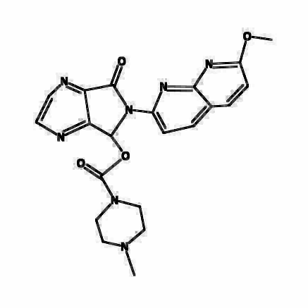 COc1ccc2ccc(N3C(=O)c4nccnc4C3OC(=O)N3CCN(C)CC3)nc2n1